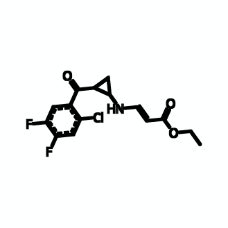 CCOC(=O)C=CNC1CC1C(=O)c1cc(F)c(F)cc1Cl